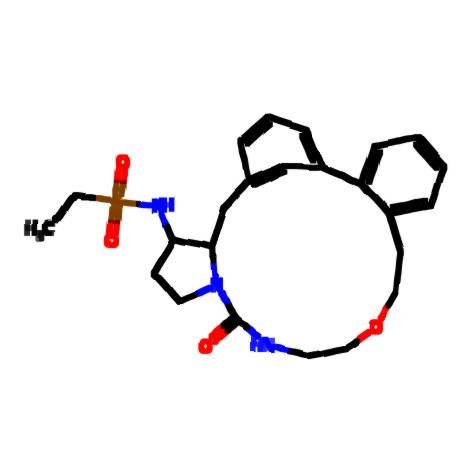 CCS(=O)(=O)NC1CCN2C(=O)NCCOCCc3ccccc3-c3cccc(c3)CC12